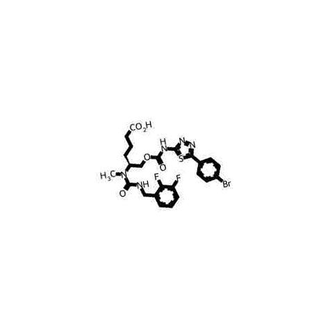 CN(C(=O)NCc1cccc(F)c1F)[C@@H](CCCC(=O)O)COC(=O)Nc1nnc(-c2ccc(Br)cc2)s1